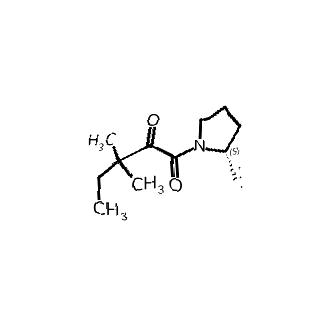 [C][C@H]1CCCN1C(=O)C(=O)C(C)(C)CC